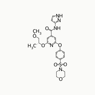 COC[C@@H](C)Oc1cc(C(=O)Nc2cc[nH]n2)cc(Oc2ccc(S(=O)(=O)N3CCOCC3)cc2)n1